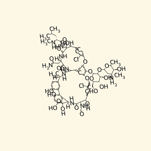 CN[C@H](CC(C)C)C(=O)N[C@H]1C(=O)N[C@@H](CC(N)=O)C(=O)NC2C(=O)N[C@@H](C)c3ccc(O)c(c3)-c3c(O)cc(O)cc3[C@@H](C(=O)O)NC(=O)C(NC=O)C(O)c3ccc(c(Cl)c3)Oc3cc2cc(c3OC2O[C@H](CO)[C@@H](O)[C@H](O)C2OC2C[C@](C)(N)[C@H](O)[C@H](C)O2)Oc2ccc(cc2Cl)[C@H]1O